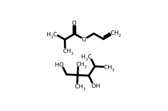 C=CCOC(=O)C(C)C.CC(C)C(O)C(C)(C)CO